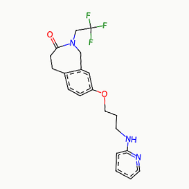 O=C1CCc2ccc(OCCCNc3ccccn3)cc2CN1CC(F)(F)F